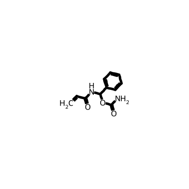 C=CC(=O)NC(OC(N)=O)c1ccccc1